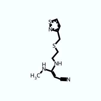 CN/C(=C/C#N)NCCSCc1ccsn1